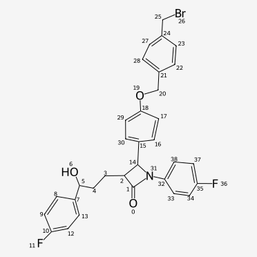 O=C1C(CCC(O)c2ccc(F)cc2)C(c2ccc(OCc3ccc(CBr)cc3)cc2)N1c1ccc(F)cc1